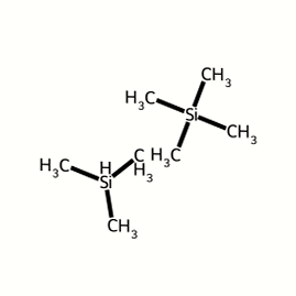 C[SiH](C)C.C[Si](C)(C)C